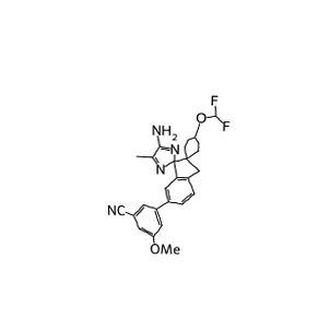 COc1cc(C#N)cc(-c2ccc3c(c2)C2(N=C(C)C(N)=N2)C2(CCC(OC(F)F)CC2)C3)c1